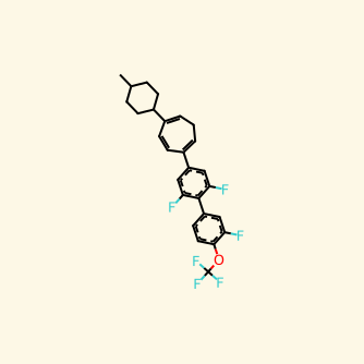 CC1CCC(C2=CCC=C(c3cc(F)c(-c4ccc(OC(F)(F)F)c(F)c4)c(F)c3)C=C2)CC1